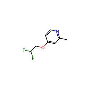 Cc1cc(OCC(F)F)ccn1